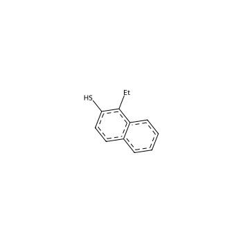 CCc1c(S)ccc2ccccc12